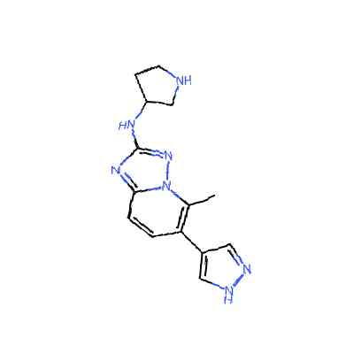 Cc1c(-c2cn[nH]c2)ccc2nc(NC3CCNC3)nn12